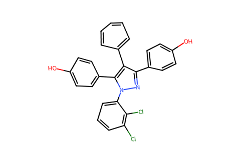 Oc1ccc(-c2nn(-c3cccc(Cl)c3Cl)c(-c3ccc(O)cc3)c2-c2ccccc2)cc1